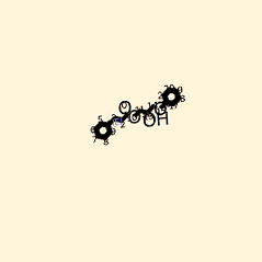 O=C(/C=C/c1ccccc1)OCC(O)COc1ccccc1